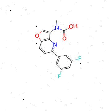 CN(C(=O)O)c1coc2ccc(-c3cc(F)cc(F)c3)nc12